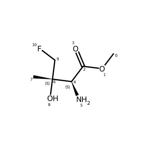 COC(=O)[C@@H](N)[C@](C)(O)CF